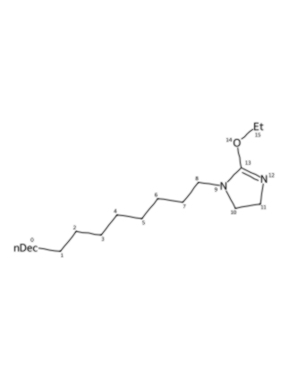 CCCCCCCCCCCCCCCCCCN1CCN=C1OCC